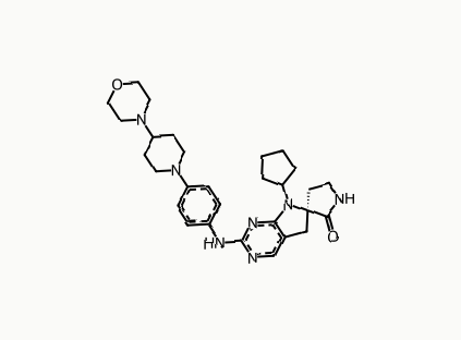 O=C1NCC[C@@]12Cc1cnc(Nc3ccc(N4CCC(N5CCOCC5)CC4)cc3)nc1N2C1CCCC1